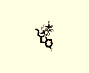 CCCC1=Cc2cc(F)ccc2S1(OS(=O)(=O)C(F)(F)F)C(F)(F)F